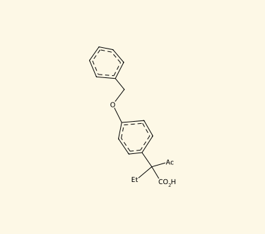 CCC(C(C)=O)(C(=O)O)c1ccc(OCc2ccccc2)cc1